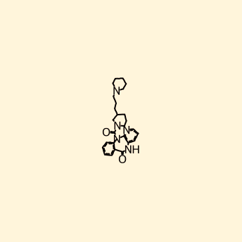 O=C1Nc2cccnc2N(C(=O)N2CCCC(CCCN3CCCCC3)C2)c2ccccc21